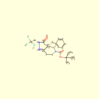 CC(C)(C)OC(=O)N1CCC2=NN(CC(F)(F)F)C(=O)[C@@]2(Cc2ccccc2)C1